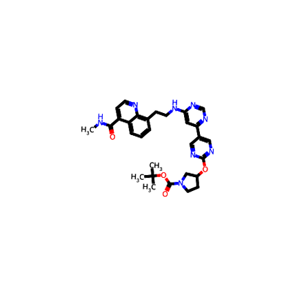 CNC(=O)c1ccnc2c(CCNc3cc(-c4cnc(OC5CCN(C(=O)OC(C)(C)C)C5)nc4)ncn3)cccc12